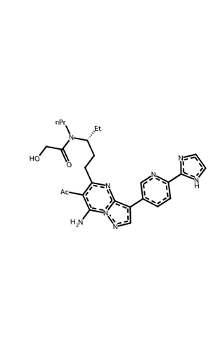 CCCN(C(=O)CO)[C@H](CC)CCc1nc2c(-c3ccc(-c4ncc[nH]4)nc3)cnn2c(N)c1C(C)=O